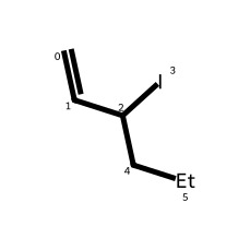 C=CC(I)CCC